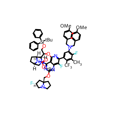 COc1ccc(CN(Cc2ccc(OC)cc2)c2cc(-c3nc4c5c(nc(OC[C@@]67CCCN6C[C@H](F)C7)nc5c3F)N3C[C@H]5CC[C@@H]([C@H]3C(CO[Si](c3ccccc3)(c3ccccc3)C(C)(C)C)O4)N5C(=O)OC(C)(C)C)c(C(F)(F)F)c(C)c2F)cc1